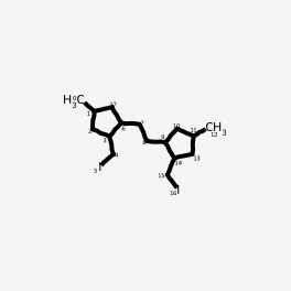 CC1CC(CI)C(CCC2CC(C)CC2CI)C1